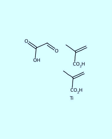 C=C(C)C(=O)O.C=C(C)C(=O)O.O=CC(=O)O.[Ti]